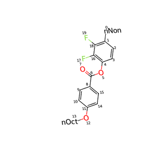 CCCCCCCCCc1ccc(OC(=O)c2ccc(OCCCCCCCC)cc2)c(F)c1F